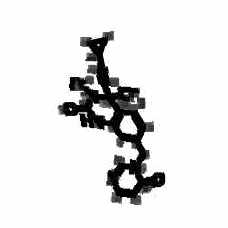 CCN1C(=O)Nc2cc(Cn3cnccc3=O)ccc2C1(C#CC1CC1)C(F)(F)F